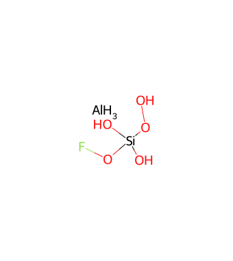 OO[Si](O)(O)OF.[AlH3]